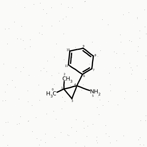 CC1(C)CC1(N)c1ccccc1